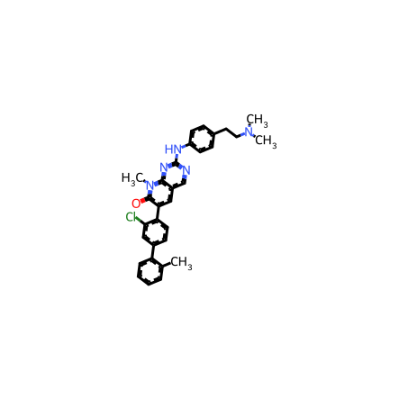 Cc1ccccc1-c1ccc(-c2cc3cnc(Nc4ccc(CCN(C)C)cc4)nc3n(C)c2=O)c(Cl)c1